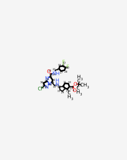 Cc1c(C(=O)OC(C)(C)C)ccc2c1CC[C@@H]2NCc1cc(C(=O)NCc2ccc(F)c(F)c2)nc2cc(Cl)nn12